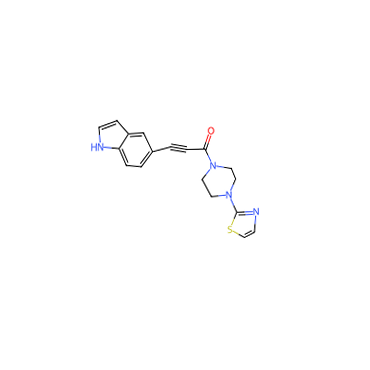 O=C(C#Cc1ccc2[nH]ccc2c1)N1CCN(c2nccs2)CC1